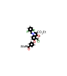 CCOC(=O)c1cn(Cc2c(F)cccc2F)c2ccc(Oc3ccc(C(=O)NC)cc3)c(CCl)c2c1=O